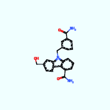 NC(=O)c1cccc(Cn2c3cc(CO)c[c]c3c3c(C(N)=O)cccc32)c1